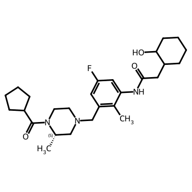 Cc1c(CN2CCN(C(=O)C3CCCC3)[C@@H](C)C2)cc(F)cc1NC(=O)CC1CCCCC1O